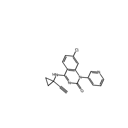 C#CC1(Nc2nc(=O)n(-c3cccnc3)c3cc(Cl)ccc23)CC1